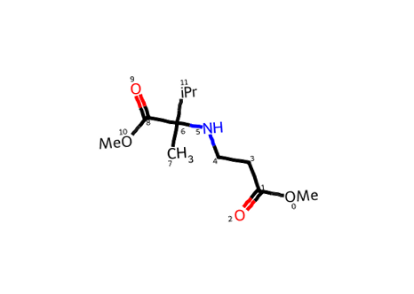 COC(=O)CCNC(C)(C(=O)OC)C(C)C